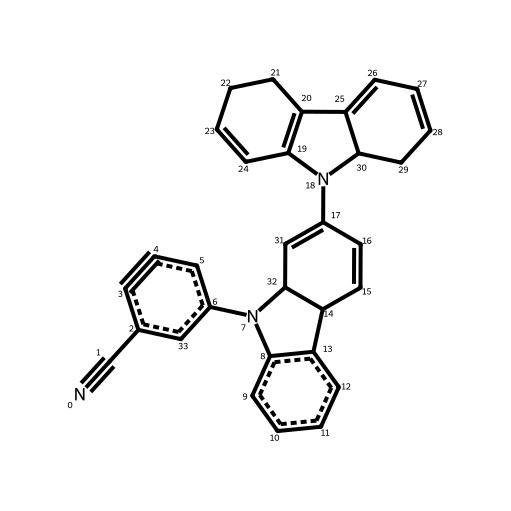 N#Cc1c#ccc(N2c3ccccc3C3C=CC(N4C5=C(CCC=C5)C5=CC=CCC54)=CC32)c1